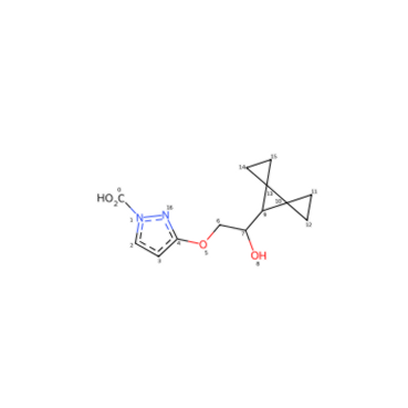 O=C(O)n1ccc(OCC(O)C2C3(CC3)C23CC3)n1